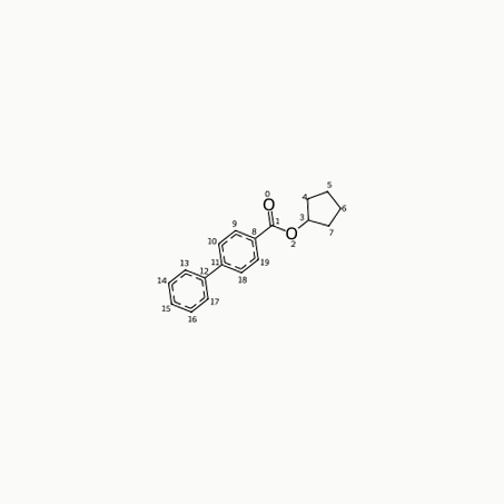 O=C(OC1CCCC1)c1ccc(-c2ccccc2)cc1